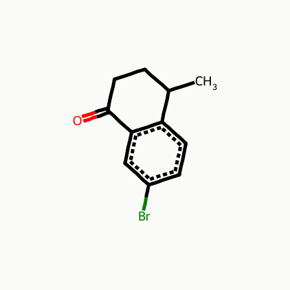 CC1CCC(=O)c2cc(Br)ccc21